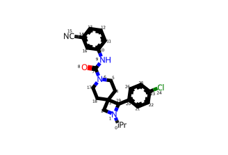 CC(C)N1CC2(CCN(C(=O)Nc3cccc(C#N)c3)CC2)C1c1ccc(Cl)cc1